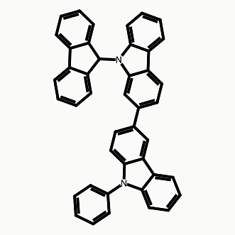 c1ccc(-n2c3ccccc3c3cc(-c4ccc5c6ccccc6n(C6c7ccccc7-c7ccccc76)c5c4)ccc32)cc1